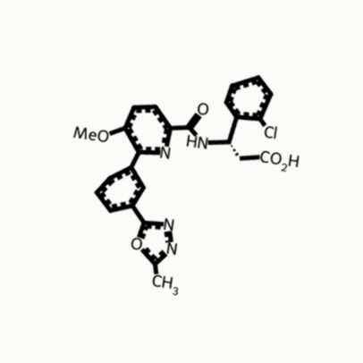 COc1ccc(C(=O)N[C@@H](CC(=O)O)c2ccccc2Cl)nc1-c1cccc(-c2nnc(C)o2)c1